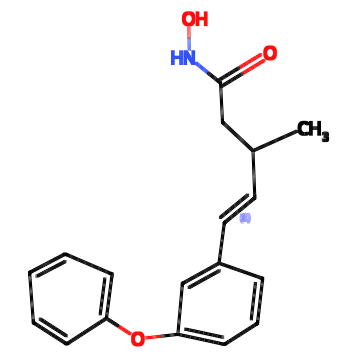 CC(/C=C/c1cccc(Oc2ccccc2)c1)CC(=O)NO